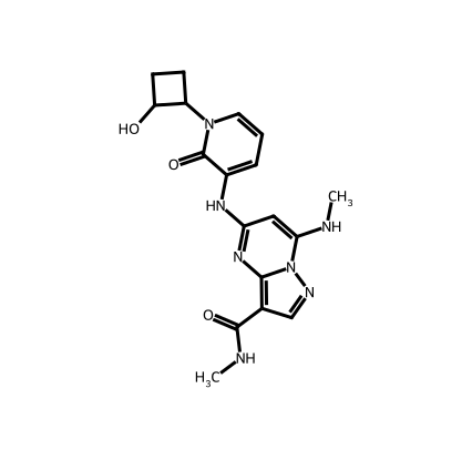 CNC(=O)c1cnn2c(NC)cc(Nc3cccn(C4CCC4O)c3=O)nc12